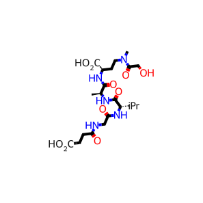 CC(C)[C@H](NC(=O)CNC(=O)CCC(=O)O)C(=O)N[C@@H](C)C(=O)N[C@@H](CCN(C)C(=O)CO)C(=O)O